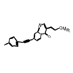 COCCc1cnc2cc(C#Cc3ccc(C)cc3)ccn2c1=O